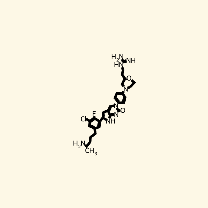 C[C@H](N)CCCc1cc(Cl)c(F)c(-c2cc3cn(-c4ccc(N5CCOC(CCNC(=N)N)C5)cc4)c(=O)nc3[nH]2)c1